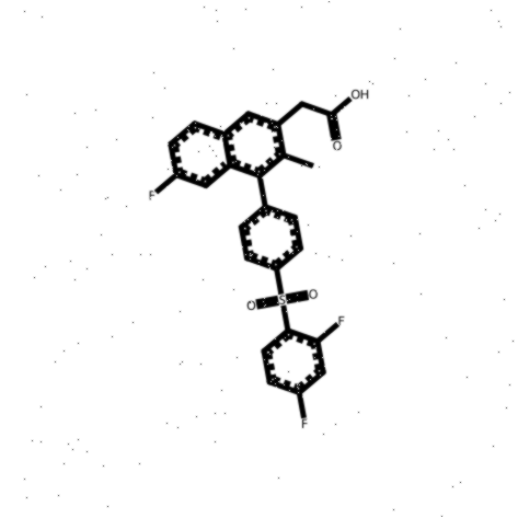 Cc1c(CC(=O)O)cc2ccc(F)cc2c1-c1ccc(S(=O)(=O)c2ccc(F)cc2F)cc1